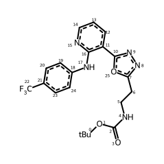 CC(C)(C)OC(=O)NCCc1nnc(-c2cccnc2Nc2ccc(C(F)(F)F)cc2)o1